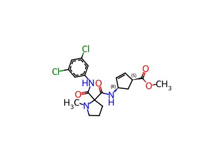 COC(=O)[C@@H]1C=C[C@H](NC(=O)C2(C(=O)Nc3cc(Cl)cc(Cl)c3)CCCN2C)C1